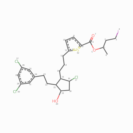 CC(CCI)OC(=O)c1ccc(CCCC2C(Cl)CC(O)C2CCc2cc(Cl)cc(Cl)c2)s1